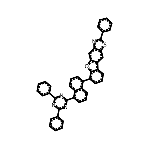 c1ccc(-c2nc(-c3ccccc3)nc(-c3cccc4c(-c5cccc6c5oc5cc7nc(-c8ccccc8)sc7cc56)cccc34)n2)cc1